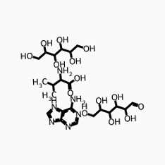 CC(C)C(N)C(=O)O.Nc1ncnc2nc[nH]c12.O=CC(O)C(O)C(O)C(O)CO.OCC(O)C(O)C(O)C(O)CO